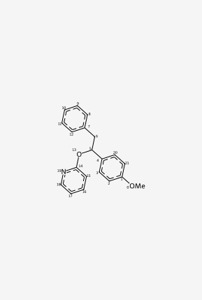 COc1ccc(C(Cc2ccccc2)Oc2ccccn2)cc1